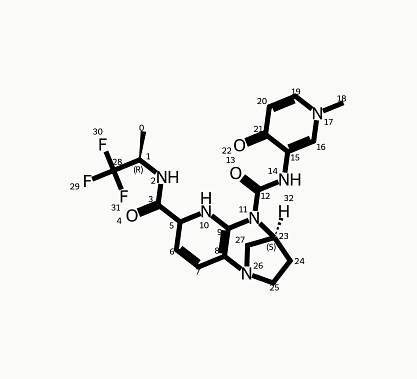 C[C@@H](NC(=O)C1C=CC2=C(N1)N(C(=O)Nc1cn(C)ccc1=O)[C@H]1CCN2C1)C(F)(F)F